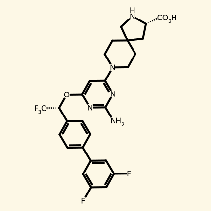 Nc1nc(O[C@H](c2ccc(-c3cc(F)cc(F)c3)cc2)C(F)(F)F)cc(N2CCC3(CC2)CN[C@H](C(=O)O)C3)n1